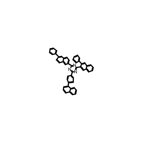 c1ccc(-c2ccc3cc(-c4nc(-c5ccc(-c6cccc7ccccc67)cc5)nc(-c5cc6ccccc6cc5-c5ccccc5)n4)ccc3c2)cc1